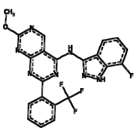 COc1ncc2c(Nc3n[nH]c4c(F)cccc34)nc(-c3ccccc3C(F)(F)F)nc2n1